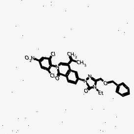 C=C(C)c1cn(-c2c(Cl)cc([N+](=O)[O-])cc2Cl)c(=O)c2ccc(-n3nc(COCc4ccccc4)n(CC)c3=O)cc12